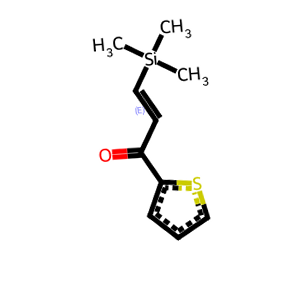 C[Si](C)(C)/C=C/C(=O)c1cccs1